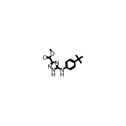 COC(=O)c1n[nH]c(Nc2ccc(C(C)(C)C)cc2)n1